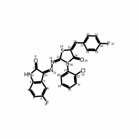 O=C1Nc2ccc(F)cc2C1=NN=C1SC(=Cc2ccc(F)cc2)C(=O)N1c1ccccc1Cl